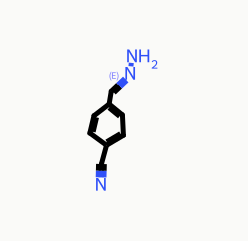 N#Cc1ccc(/C=N/N)cc1